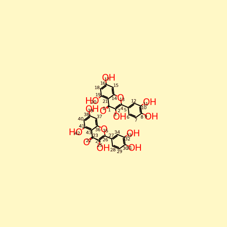 O=c1c(O)c(-c2ccc(O)c(O)c2)oc2cc(O)cc(O)c12.O=c1c(O)c(-c2ccc(O)c(O)c2)oc2cc(O)cc(O)c12